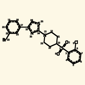 O=S(=O)(c1ccccc1Cl)C1CCN(c2nc(-c3cccc(Br)c3)cs2)CC1